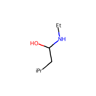 CCNC(O)CC(C)C